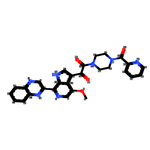 COc1cnc(-c2cnc3ccccc3n2)c2[nH]cc(C(=O)C(=O)N3CCN(C(=O)c4ccccn4)CC3)c12